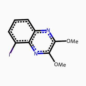 COc1nc2cccc(I)c2nc1OC